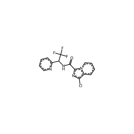 O=C(NC(c1ccccn1)C(F)(F)F)c1nc(Cl)c2ccccn12